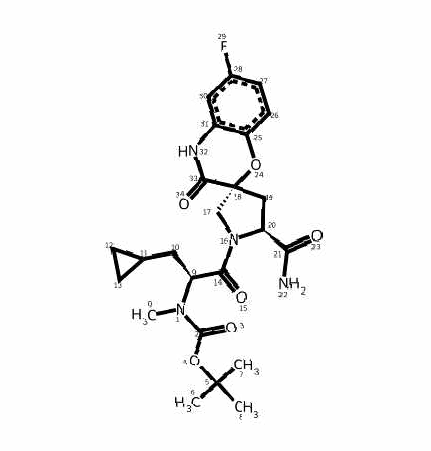 CN(C(=O)OC(C)(C)C)[C@@H](CC1CC1)C(=O)N1C[C@@]2(C[C@H]1C(N)=O)Oc1ccc(F)cc1NC2=O